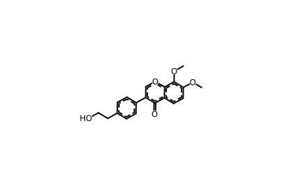 COc1ccc2c(=O)c(-c3ccc(CCO)cc3)coc2c1OC